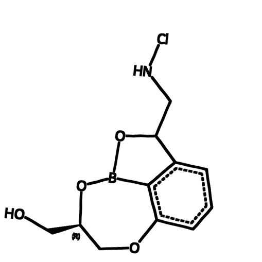 OC[C@@H]1COc2cccc3c2B(OC3CNCl)O1